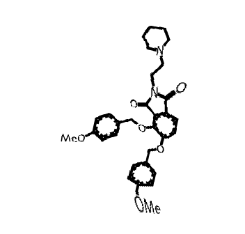 COc1ccc(COc2ccc3c(c2OCc2ccc(OC)cc2)C(=O)N(CCN2CCCCC2)C3=O)cc1